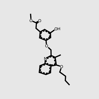 CCCCOc1c(C)c(COc2cc(O)cc(CC(=O)OC)c2)nc2ccccc12